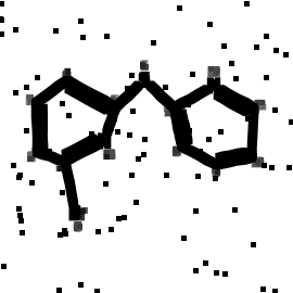 Brc1cccc(Sc2ccccn2)n1